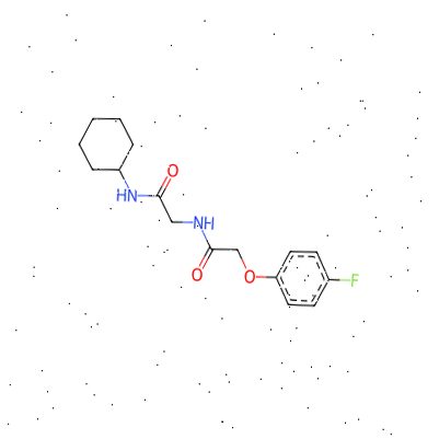 O=C(COc1ccc(F)cc1)NCC(=O)NC1CCCCC1